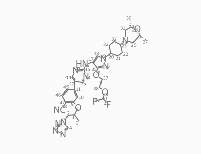 CC(Cn1cnnn1)Oc1cc(-c2cnc(Nc3cn(C4CCC(N5C[C@@H](C)O[C@@H](C)C5)CC4)nc3OCCOC(F)F)nc2)ccc1C#N